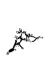 Cc1c(C#N)sc2c1NC(NC(C)C)=NS2(=O)=O